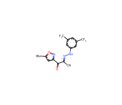 CC(C)(C)c1cc(C(=O)/C(C#N)=N/Nc2cc(C(F)(F)F)cc(C(F)(F)F)c2)no1